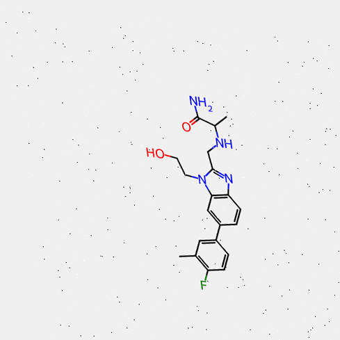 Cc1cc(-c2ccc3nc(CNC(C)C(N)=O)n(CCO)c3c2)ccc1F